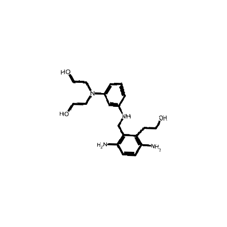 Nc1ccc(N)c(CNc2cccc(N(CCO)CCO)c2)c1CCO